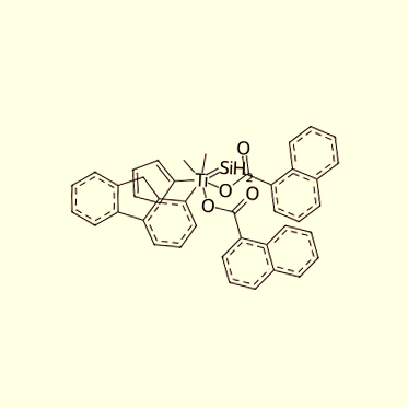 [CH3][Ti]([CH3])(=[SiH2])([O]C(=O)c1cccc2ccccc12)([O]C(=O)c1cccc2ccccc12)([C]1=CC=CC1)[c]1cccc2c1Cc1ccccc1-2